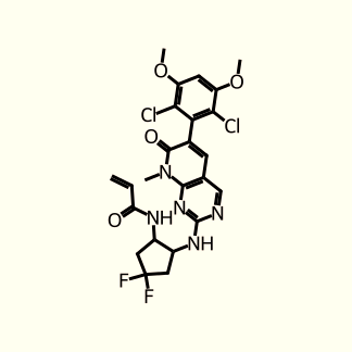 C=CC(=O)NC1CC(F)(F)CC1Nc1ncc2cc(-c3c(Cl)c(OC)cc(OC)c3Cl)c(=O)n(C)c2n1